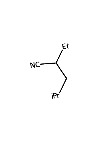 CCC(C#N)CC(C)C